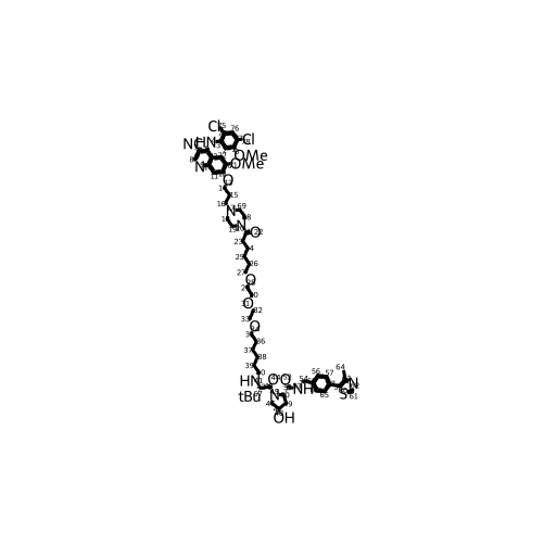 COc1cc(Nc2c(C#N)cnc3cc(OCCCN4CCN(C(=O)CCCCCOCCOCCOCCCCCCN[C@H](C(=O)N5C[C@H](O)C[C@H]5C(=O)NCc5ccc(-c6scnc6C)cc5)C(C)(C)C)CC4)c(OC)cc23)c(Cl)cc1Cl